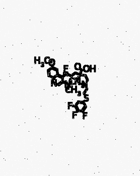 COc1ccc2ncc(N(C)C)c([C@H](F)CCC3(C(=O)O)CCN(CCSc4cc(F)c(F)c(F)c4)CC3)c2c1